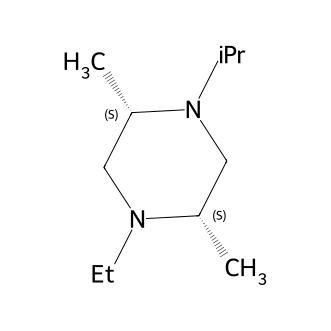 CCN1C[C@H](C)N(C(C)C)C[C@@H]1C